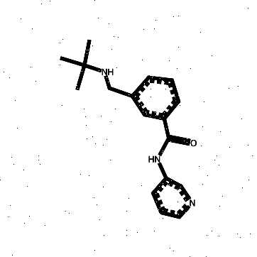 CC(C)(C)NCc1cccc(C(=O)Nc2cccnc2)c1